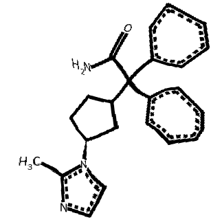 Cc1nccn1[C@H]1CCC(C(C(N)=O)(c2ccccc2)c2ccccc2)C1